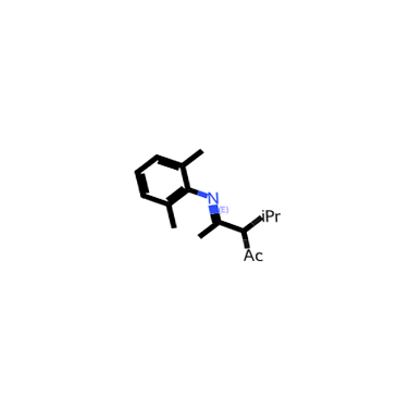 CC(=O)C(/C(C)=N/c1c(C)cccc1C)C(C)C